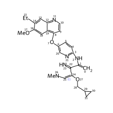 C=C(Nc1ccc(Oc2ccnc3cc(CC)c(OC)cc23)cn1)C(=N)/C(=C\NC)OCC1CC1